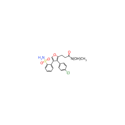 CN(O)C(=O)CCc1occ(-c2ccccc2S(N)(=O)=O)c1-c1ccc(Cl)cc1